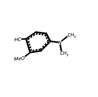 [CH]c1ccc(N(C)C)cc1OC